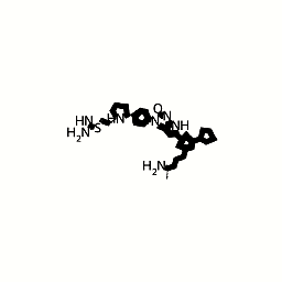 C[C@H](N)CCCc1cc(-c2cc3cn(-c4ccc([C@@H]5CCC[C@@H](CCSC(=N)N)N5)cc4)c(=O)nc3[nH]2)cc(C2CCCC2)c1